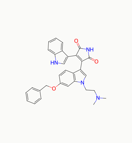 CN(C)CCn1cc(C2=C(c3c[nH]c4ccccc34)C(=O)NC2=O)c2ccc(OCc3ccccc3)cc21